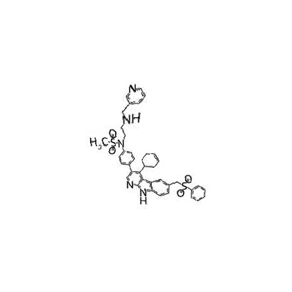 CS(=O)(=O)N(CCNCc1cccnc1)c1ccc(-c2cnc3[nH]c4ccc(CS(=O)(=O)c5ccccc5)cc4c3c2C2=CC=CCC2)cc1